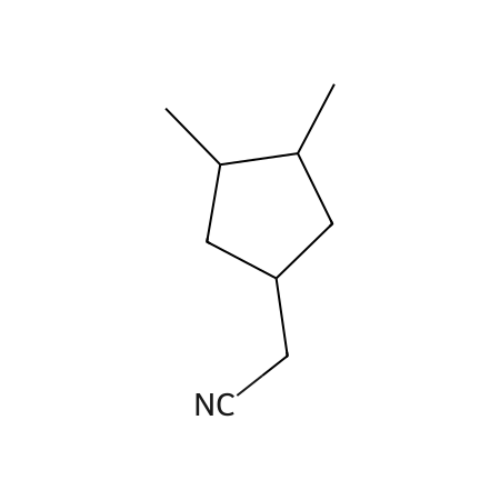 CC1CC(CC#N)CC1C